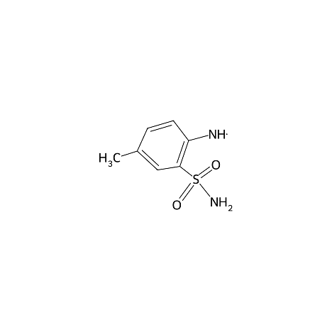 Cc1ccc([NH])c(S(N)(=O)=O)c1